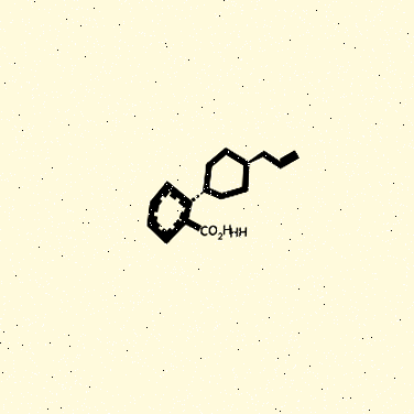 C=CC[C@H]1CC[C@H](c2ccccc2C(=O)O)CC1.[HH]